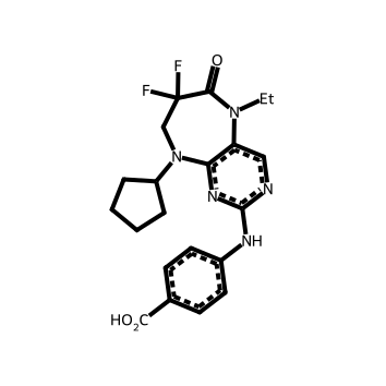 CCN1C(=O)C(F)(F)CN(C2CCCC2)c2nc(Nc3ccc(C(=O)O)cc3)ncc21